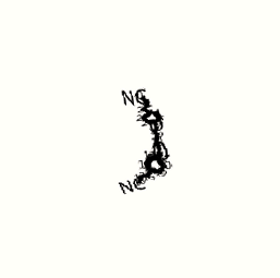 N#CCCc1ccc(OCCCOc2ccc(CCC#N)cc2)cc1